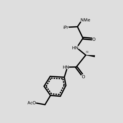 CNC(C(=O)N[C@@H](C)C(=O)Nc1ccc(COC(C)=O)cc1)C(C)C